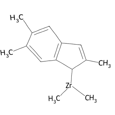 CC1=Cc2cc(C)c(C)cc2[CH]1[Zr]([CH3])[CH3]